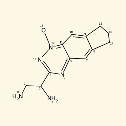 NCC(N)c1nc2cc3c(cc2[n+]([O-])n1)CCC3